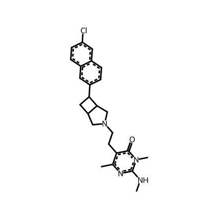 CNc1nc(C)c(CCN2CC3CC(c4ccc5cc(Cl)ccc5c4)C3C2)c(=O)n1C